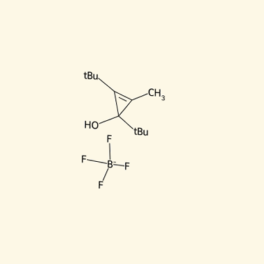 CC1=C(C(C)(C)C)C1(O)C(C)(C)C.F[B-](F)(F)F